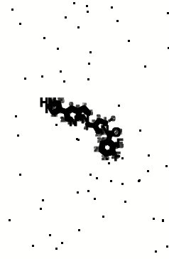 C[C@H]1CC(Cn2ccc3cc(-c4cn[nH]c4)cnc32)CN1C(=O)c1cccc(F)c1F